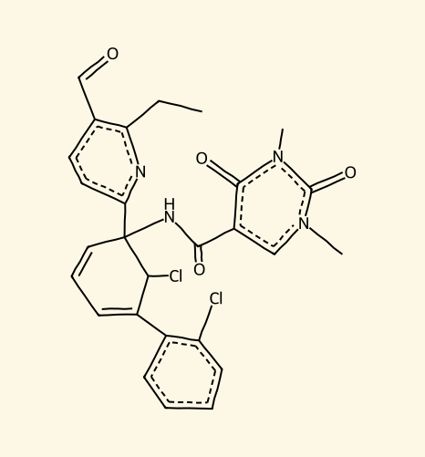 CCc1nc(C2(NC(=O)c3cn(C)c(=O)n(C)c3=O)C=CC=C(c3ccccc3Cl)C2Cl)ccc1C=O